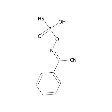 N#C/C(=N\OP(=O)(O)S)c1ccccc1